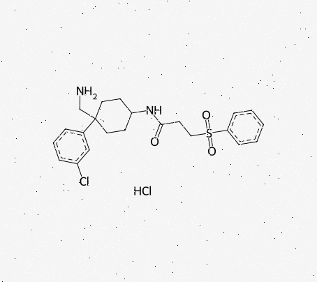 Cl.NCC1(c2cccc(Cl)c2)CCC(NC(=O)CCS(=O)(=O)c2ccccc2)CC1